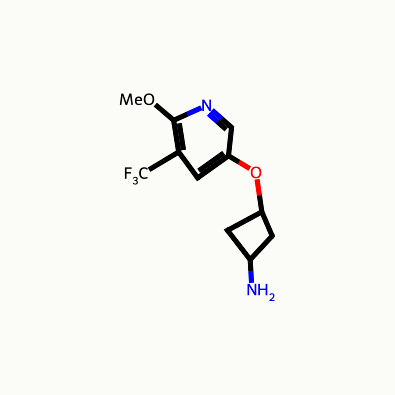 COc1ncc(OC2CC(N)C2)cc1C(F)(F)F